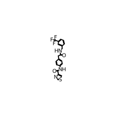 O=C(Cc1ccc(NC(=O)c2cscn2)cc1)NCc1cccc(C(F)(F)F)c1